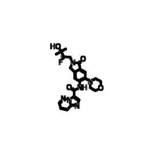 CC(C)(O)[C@H](F)CN1Cc2cc(NC(=O)c3cnc4cccnn34)c(N3CCOCC3)cc2C1=O